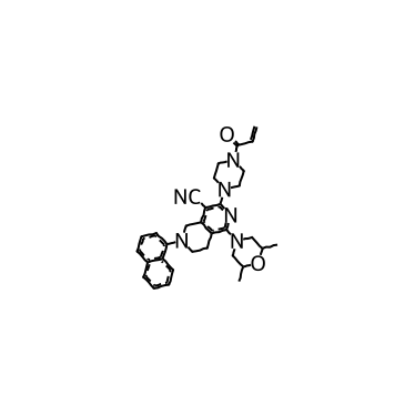 C=CC(=O)N1CCN(c2nc(N3CC(C)OC(C)C3)c3c(c2C#N)CN(c2cccc4ccccc24)CC3)CC1